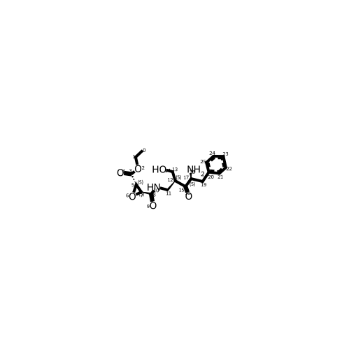 CCOC(=O)[C@H]1O[C@@H]1C(=O)NC[C@@H](CO)C(=O)[C@@H](N)Cc1ccccc1